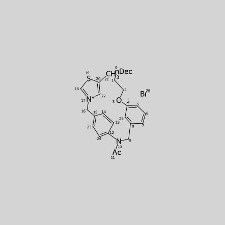 CCCCCCCCCCCCOc1cccc(CN(C(C)=O)c2ccc(C[n+]3csc(C)c3)cc2)c1.[Br-]